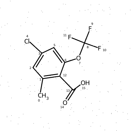 Cc1cc(Cl)cc(OC(F)(F)F)c1C(=O)O